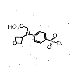 CCS(=O)(=O)c1ccc(N(CC(=O)O)C2COC2)cc1